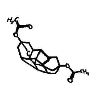 CC(=O)OC12CC3C4CC5C6CC7(OC(C)=O)CC5C(C4C1)C(C2)(C7)C36